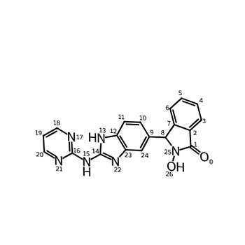 O=C1c2ccccc2C(c2ccc3[nH]c(Nc4ncccn4)nc3c2)N1O